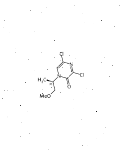 COC[C@@H](C)n1cc(Cl)nc(Cl)c1=O